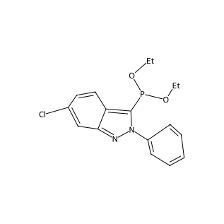 CCOP(OCC)c1c2ccc(Cl)cc2nn1-c1ccccc1